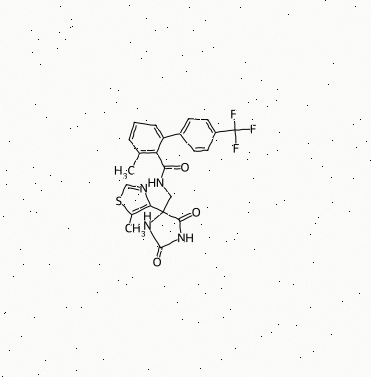 Cc1cccc(-c2ccc(C(F)(F)F)cc2)c1C(=O)NCC1(c2ncsc2C)NC(=O)NC1=O